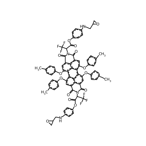 Cc1ccc(Oc2cc3c4c(cc(Oc5ccc(C)cc5)c5c6c(Oc7ccc(C)cc7)cc7c8c(cc(Oc9ccc(C)cc9)c(c2c45)c86)C(=O)N(C(C(=O)Oc2ccc(NCC4CO4)cc2)C(F)(F)F)C7=O)C(=O)N(C(C(=O)Oc2ccc(NCC4CO4)cc2)C(F)(F)F)C3=O)cc1